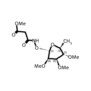 COC(=O)CC(=O)NO[C@@H]1O[C@@H](C)[C@H](OC)[C@@H](OC)[C@H]1OC